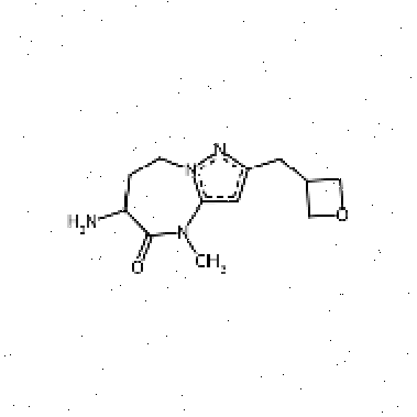 CN1C(=O)C(N)CCn2nc(CC3COC3)cc21